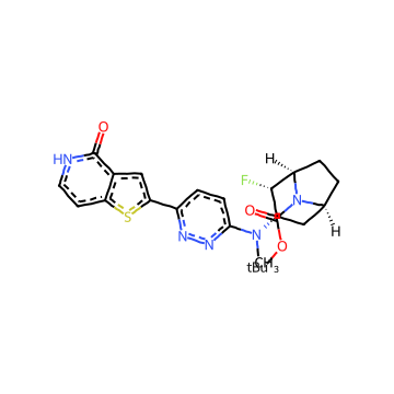 CN(c1ccc(-c2cc3c(=O)[nH]ccc3s2)nn1)[C@H]1C[C@@H]2CC[C@H]([C@H]1F)N2C(=O)OC(C)(C)C